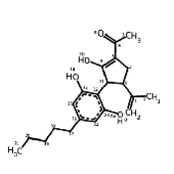 C=C(C)C1CC(C(C)=O)=C(O)C1c1c(O)cc(CCCCC)cc1O